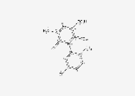 Cc1ccc(Cl)cc1-n1c(=O)c(C(=O)O)nn(C)c1=O